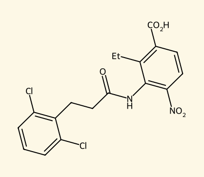 CCc1c(C(=O)O)ccc([N+](=O)[O-])c1NC(=O)CCc1c(Cl)cccc1Cl